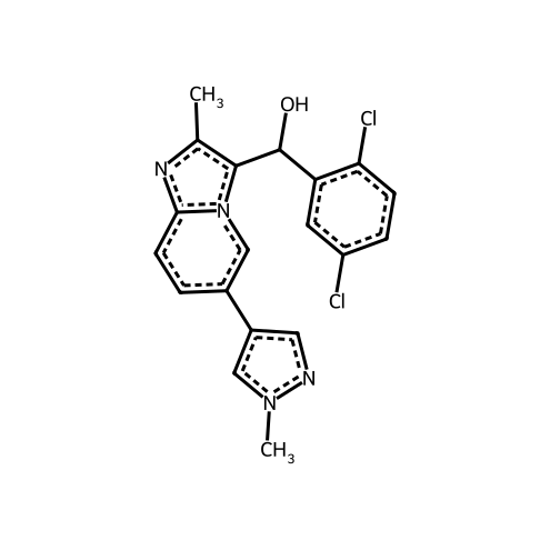 Cc1nc2ccc(-c3cnn(C)c3)cn2c1C(O)c1cc(Cl)ccc1Cl